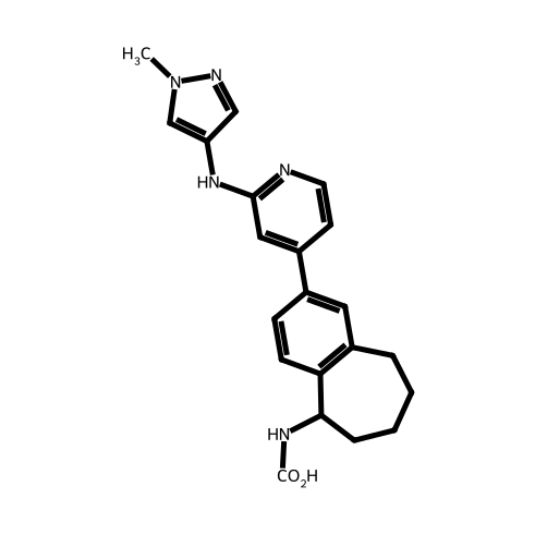 Cn1cc(Nc2cc(-c3ccc4c(c3)CCCCC4NC(=O)O)ccn2)cn1